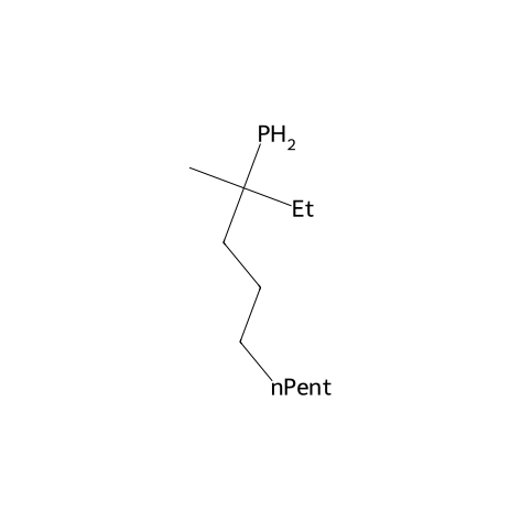 CCCCCCCCC(C)(P)CC